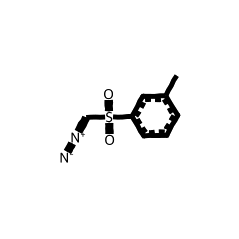 Cc1cccc(S(=O)(=O)C=[N+]=[N-])c1